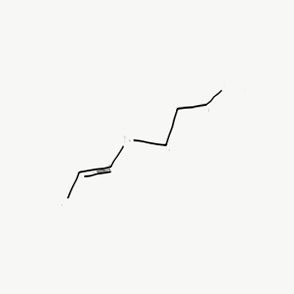 CC=C[N]CCCC